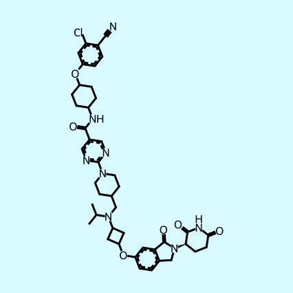 CC(C)N(CC1CCN(c2ncc(C(=O)NC3CCC(Oc4ccc(C#N)c(Cl)c4)CC3)cn2)CC1)C1CC(Oc2ccc3c(c2)C(=O)N([C@@H]2CCC(=O)NC2=O)C3)C1